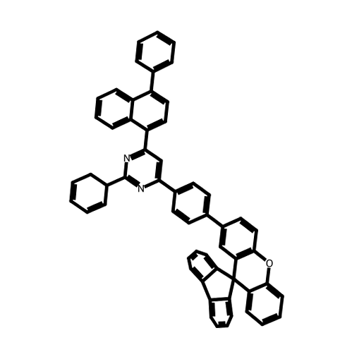 C1=CCC(c2nc(-c3ccc(-c4ccc5c(c4)C4(c6ccccc6O5)c5ccccc5-c5ccccc54)cc3)cc(-c3ccc(-c4ccccc4)c4ccccc34)n2)C=C1